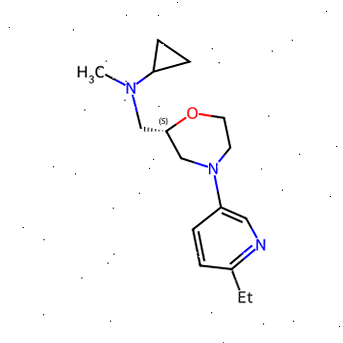 CCc1ccc(N2CCO[C@@H](CN(C)C3CC3)C2)cn1